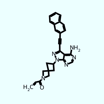 C=CC(=O)N1CC2(CC(n3nc(C#Cc4ccc5ccccc5c4)c4c(N)ncnc43)C2)C1